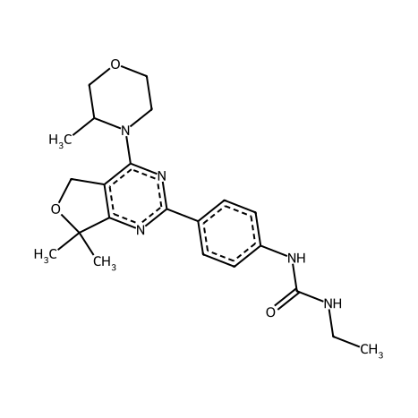 CCNC(=O)Nc1ccc(-c2nc(N3CCOCC3C)c3c(n2)C(C)(C)OC3)cc1